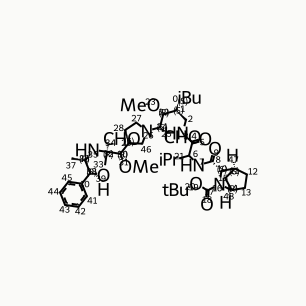 CC[C@H](C)[C@@H](CNC(=O)C(NC(=O)[C@@H]1[C@H]2CC[C@H](C2)N1C(=O)OC(C)(C)C)C(C)C)[C@@H](OC)[C@@H](C=O)N1CC[C@H]([C@@H](OC)[C@](C)(C=O)N[C@H](C)[C@@H](O)c2ccccc2)C1